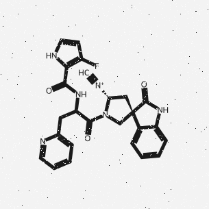 C#[N+][C@@H]1C[C@@]2(CN1C(=O)C(Cc1ccccn1)NC(=O)c1[nH]ccc1F)C(=O)Nc1ccccc12